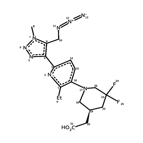 CCc1nc(-c2nnn(C)c2CN=[N+]=[N-])ccc1N1C[C@H](CC(=O)O)CC(F)(F)C1